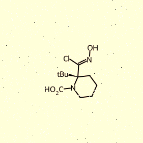 CC(C)(C)[C@@]1(C(Cl)=NO)CCCCN1C(=O)O